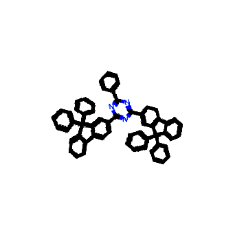 C1=C(c2nc(-c3ccccc3)nc(-c3ccc4c(c3)C(c3ccccc3)(c3ccccc3)c3ccccc3-4)n2)CCC2=C1C(c1ccccc1)(c1ccccc1)c1ccccc12